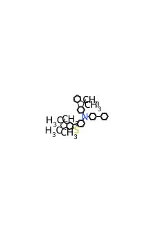 CC1(C)CC(C)(C)c2cc3c(cc21)sc1ccc(N(c2ccc(-c4ccccc4)cc2)c2ccc4c(c2)C(C)(C)c2ccccc2-4)cc13